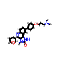 CN(C)CCCOc1ccc(-c2ccc3nc([C@H]4CCCOC4)c4c([nH]c(=O)n4C)c3c2)cc1